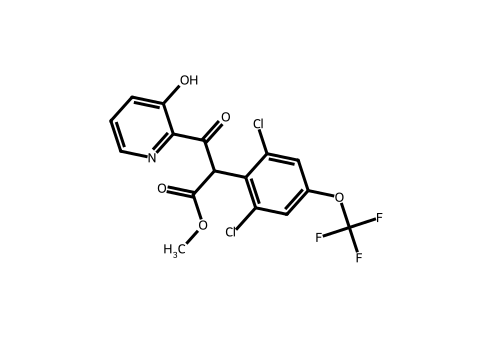 COC(=O)C(C(=O)c1ncccc1O)c1c(Cl)cc(OC(F)(F)F)cc1Cl